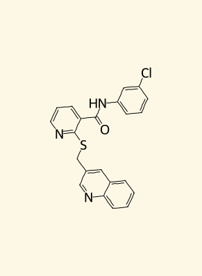 O=C(Nc1cccc(Cl)c1)c1cccnc1SCc1cnc2ccccc2c1